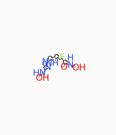 COc1cc(/C(F)=C/c2cccc(-c3cccc(Nc4nccc5cc(CNCCO)cnc45)c3C)c2C)ccc1CNCCO